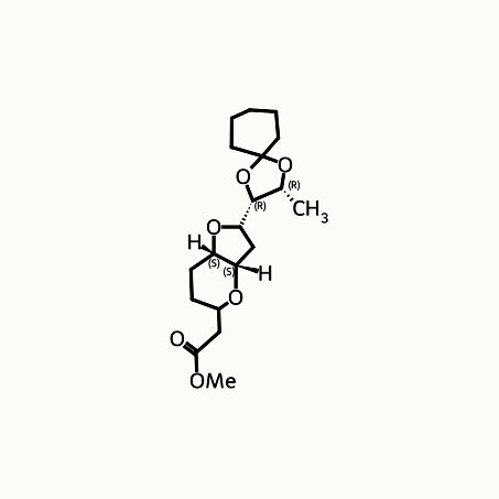 COC(=O)CC1CC[C@@H]2OC([C@@H]3OC4(CCCCC4)O[C@@H]3C)C[C@@H]2O1